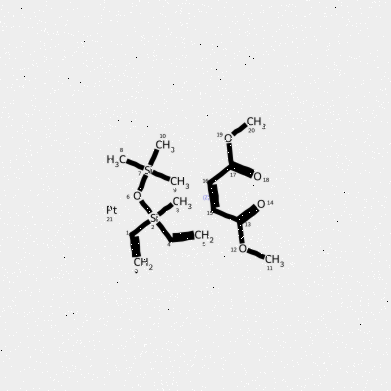 C=C[Si](C)(C=C)O[Si](C)(C)C.COC(=O)/C=C\C(=O)OC.[Pt]